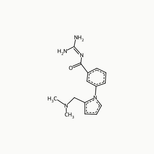 CN(C)Cc1cccn1-c1cccc(C(=O)N=C(N)N)c1